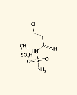 CS(=O)(=O)O.N=C(CCCl)NS(N)(=O)=O